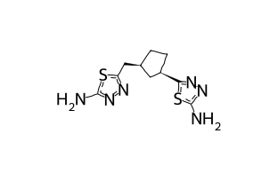 Nc1nnc(C[C@H]2CC[C@@H](c3nnc(N)s3)C2)s1